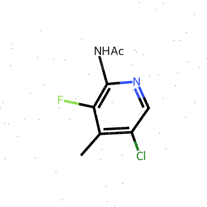 CC(=O)Nc1ncc(Cl)c(C)c1F